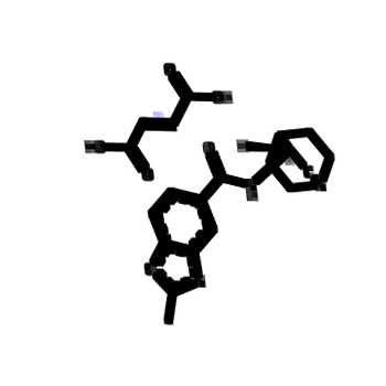 Cc1nc2cc(C(=O)N[C@H]3CN4CCC3CC4)ccc2o1.O=C(O)/C=C/C(=O)O